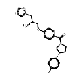 NC(COc1ccc(C(=O)N2CC[C@H](c3ccc(F)cc3)C2)cc1)Cn1cncn1